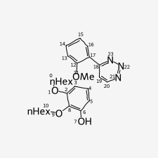 CCCCCCOc1cccc(O)c1OCCCCCC.COc1ccccc1-c1ccnnn1